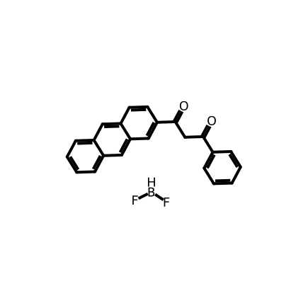 FBF.O=C(CC(=O)c1ccc2cc3ccccc3cc2c1)c1ccccc1